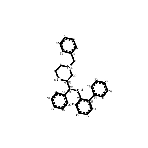 c1ccc(CN2CCO[C@H]([C@@H](Sc3ccccc3-c3ccccc3)c3ccccc3)C2)cc1